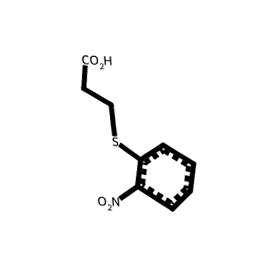 O=C(O)CCSc1ccccc1[N+](=O)[O-]